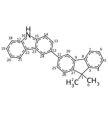 CC1(C)c2ccccc2-c2cc(-c3ccc4[nH]c5ccccc5c4c3)ccc21